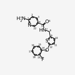 Nc1ccc(C(=O)NCc2ccc(Oc3ccccc3F)s2)cn1